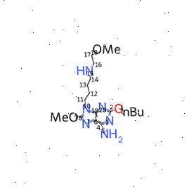 CCCCOc1nc(N)c2nc(OC)n(CCCCNCCOC)c2n1